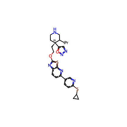 CC(C)C1CNCC[C@@]1(CCOc1nc2ccc(-c3ccc(SC4CC4)nc3)nc2s1)c1cnno1